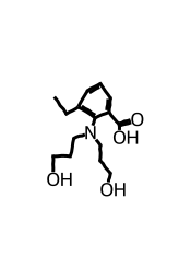 CCc1cccc(C(=O)O)c1N(CCCO)CCCO